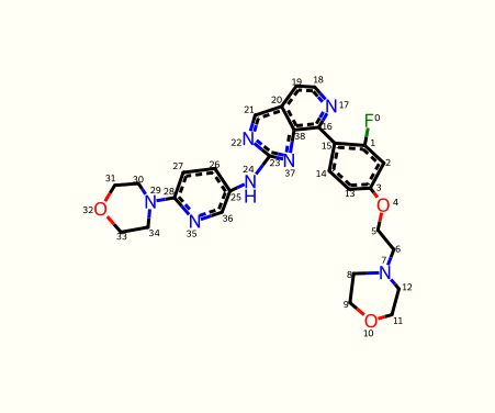 Fc1cc(OCCN2CCOCC2)ccc1-c1nccc2cnc(Nc3ccc(N4CCOCC4)nc3)nc12